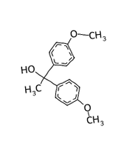 COc1ccc(C(C)(O)c2ccc(OC)cc2)cc1